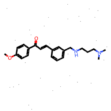 COc1ccc(C(=O)C=Cc2cccc(CNCCCN(C)C)c2)cc1